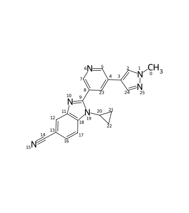 Cn1cc(-c2cncc(-c3nc4cc(C#N)ccc4n3C3CC3)c2)cn1